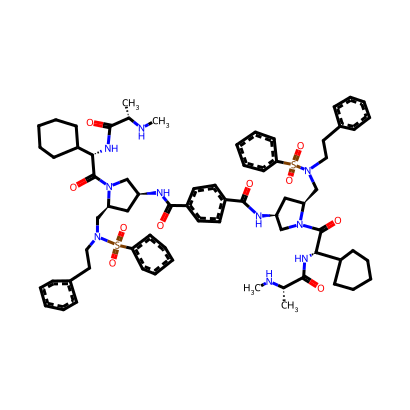 CN[C@@H](C)C(=O)N[C@H](C(=O)N1C[C@@H](NC(=O)c2ccc(C(=O)N[C@H]3C[C@@H](CN(CCc4ccccc4)S(=O)(=O)c4ccccc4)N(C(=O)[C@@H](NC(=O)[C@H](C)NC)C4CCCCC4)C3)cc2)C[C@H]1CN(CCc1ccccc1)S(=O)(=O)c1ccccc1)C1CCCCC1